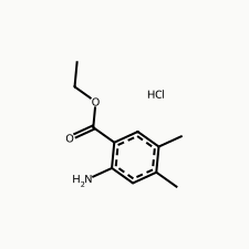 CCOC(=O)c1cc(C)c(C)cc1N.Cl